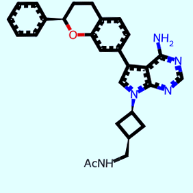 CC(=O)NC[C@H]1C[C@@H](n2cc(-c3ccc4c(c3)O[C@@H](c3ccccc3)CC4)c3c(N)ncnc32)C1